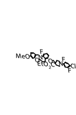 CCOC(=O)C1(COc2ccc(F)c3c2CCC(=O)N3Cc2ccc(OC)cc2)CCN(c2cc(F)c(Cl)cc2F)CC1